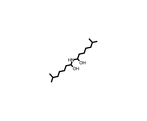 CC(C)CCCCC(O)NC(O)CCCCC(C)C